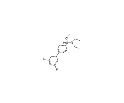 CCN(CC)[SiH](OC)c1ccc(-c2cc(F)cc(F)c2)cc1